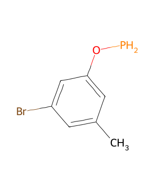 Cc1cc(Br)cc(OP)c1